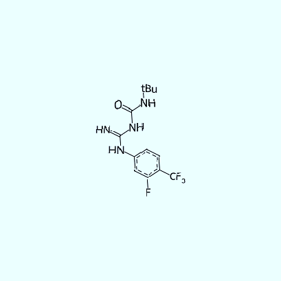 CC(C)(C)NC(=O)NC(=N)Nc1ccc(C(F)(F)F)c(F)c1